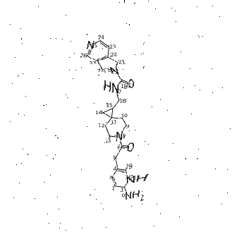 NC1C=CC(CC(=O)N2CCC3(CC2)CC3CNC(=O)N2Cc3ccncc3C2)=CN1